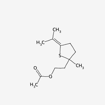 CC(=O)OCCC1(C)CCC(=C(C)C)S1